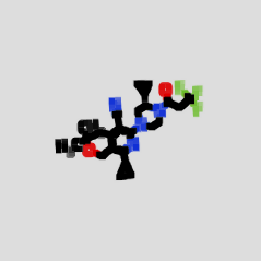 CC1(C)Cc2c(C#N)c(N3CCN(C(=O)CC(F)(F)F)[C@H](C4CC4)C3)nc(C3CC3)c2CO1